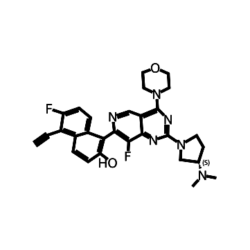 C#Cc1c(F)ccc2c(-c3ncc4c(N5CCOCC5)nc(N5CC[C@H](N(C)C)C5)nc4c3F)c(O)ccc12